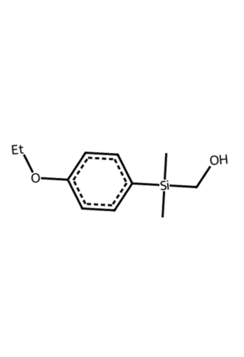 CCOc1ccc([Si](C)(C)CO)cc1